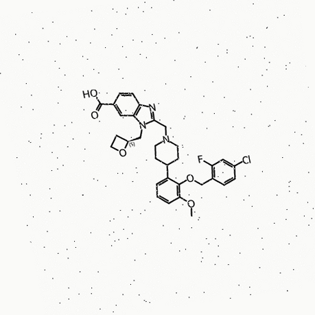 COc1cccc(C2CCN(Cc3nc4ccc(C(=O)O)cc4n3C[C@@H]3CCO3)CC2)c1OCc1ccc(Cl)cc1F